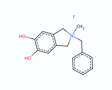 C[N+]1(Cc2ccccc2)Cc2cc(O)c(O)cc2C1.[I-]